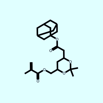 C=C(C)C(=O)OCC1CC(CC(=O)OC23CC4CC(CC(C4)C2)C3)OC(C)(C)O1